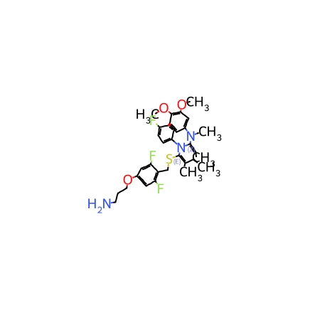 C/C=C(/N(C)c1ccc(OC)c(OC)c1)N(/C(SCc1c(F)cc(OCCCN)cc1F)=C(/C)CC)c1ccc(F)cc1